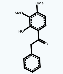 COc1ccc(C(=O)Cc2ccccc2)c(O)c1OC